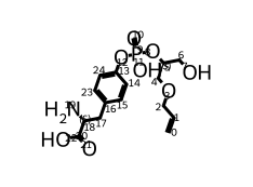 C=CCOC[C@H](CO)OP(=O)(O)Oc1ccc(C[C@H](N)C(=O)O)cc1